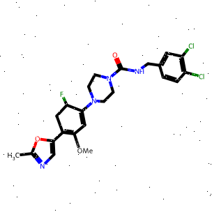 COC1=C(c2cnc(C)o2)CC(F)C(N2CCN(C(=O)NCc3ccc(Cl)c(Cl)c3)CC2)=C1